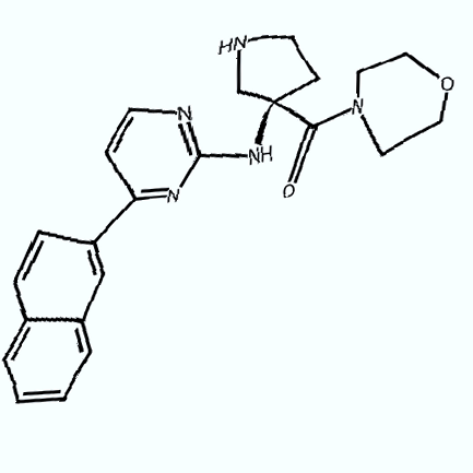 O=C(N1CCOCC1)[C@@]1(Nc2nccc(-c3ccc4ccccc4c3)n2)CCNC1